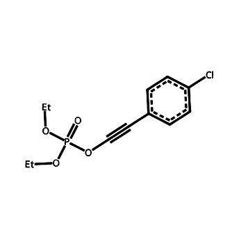 CCOP(=O)(OC#Cc1ccc(Cl)cc1)OCC